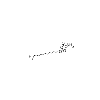 CCCCCCCCCCCCOC(=O)OC(=O)ON